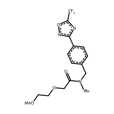 CCC(C)N(Cc1ccc(-c2noc(C(F)(F)F)n2)cc1)C(=O)COCCOC